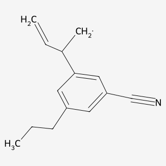 [CH2]C(C=C)c1cc(C#N)cc(CCC)c1